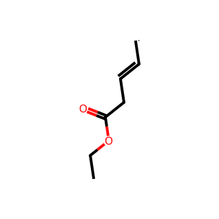 [CH2]C=CCC(=O)OCC